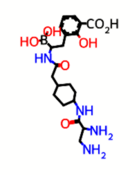 NCC(N)C(=O)NC1CCC(CC(=O)NC(Cc2cccc(C(=O)O)c2O)B(O)O)CC1